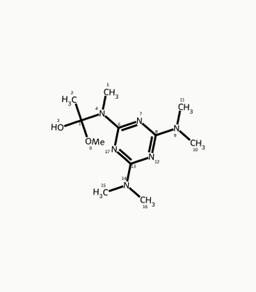 COC(C)(O)N(C)c1nc(N(C)C)nc(N(C)C)n1